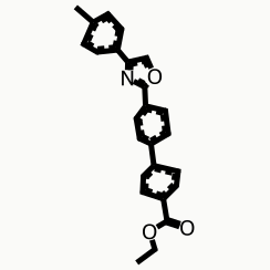 CCOC(=O)c1ccc(-c2ccc(-c3nc(-c4ccc(C)cc4)co3)cc2)cc1